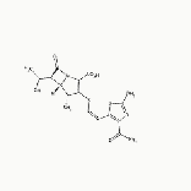 C[C@@H](O)[C@H]1C(=O)N2C(C(=O)O)=C(S/C=C\c3sc(N)nc3C(N)=O)[C@H](C)[C@H]12